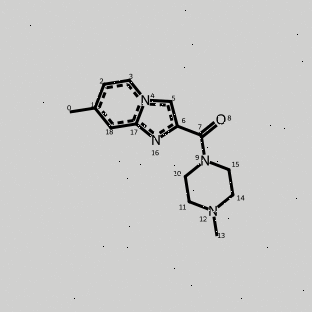 Cc1ccn2cc(C(=O)N3CCN(C)CC3)nc2c1